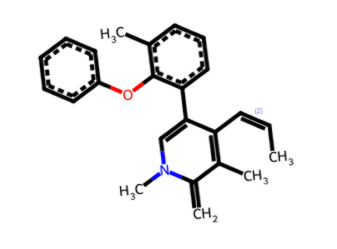 C=C1C(C)=C(/C=C\C)C(c2cccc(C)c2Oc2ccccc2)=CN1C